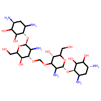 NC1C(OCO[C@H]2C(N)[C@H](O[C@H]3C(N)C[C@H](N)C(O)C3O)OC(CO)[C@@H]2O)[C@H](O)C(CO)O[C@@H]1O[C@@H]1C(N)C[C@@H](N)C(O)C1O